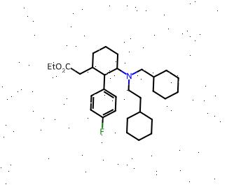 CCOC(=O)CC1CCCC(N(CCC2CCCCC2)CC2CCCCC2)C1c1ccc(F)cc1